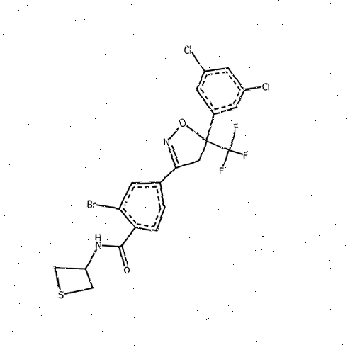 O=C(NC1CSC1)c1ccc(C2=NOC(c3cc(Cl)cc(Cl)c3)(C(F)(F)F)C2)cc1Br